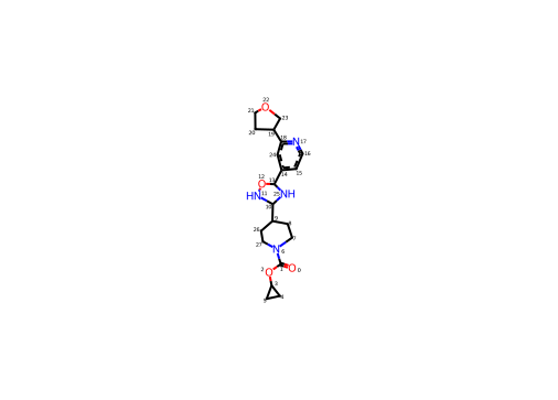 O=C(OC1CC1)N1CCC(C2NOC(c3ccnc(C4CCOC4)c3)N2)CC1